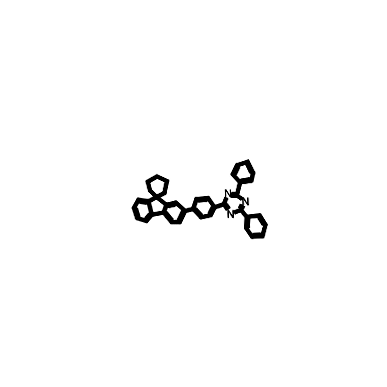 c1ccc(-c2nc(-c3ccccc3)nc(-c3ccc(-c4ccc5c(c4)C4(CCCCC4)c4ccccc4-5)cc3)n2)cc1